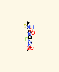 CCOC(=O)N1CCN(c2ccc(N3C[C@H](CNC(=S)C4CC4)OC3=O)cc2F)CC1